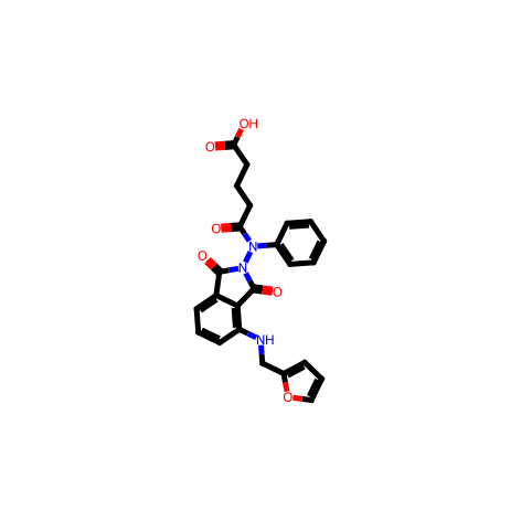 O=C(O)CCCC(=O)N(c1ccccc1)N1C(=O)c2cccc(NCc3ccco3)c2C1=O